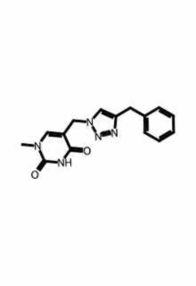 Cn1cc(Cn2cc(Cc3ccccc3)nn2)c(=O)[nH]c1=O